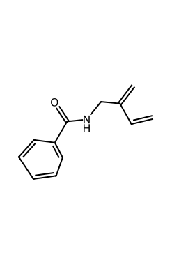 C=CC(=C)CNC(=O)c1ccccc1